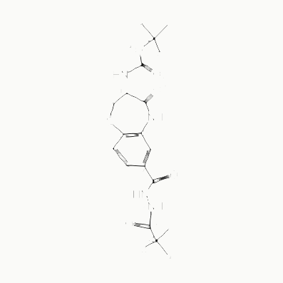 CC(C)(C)OC(=O)N[C@H]1CSc2ccc(C(=O)NNC(=O)C(C)(C)C)cc2NC1=O